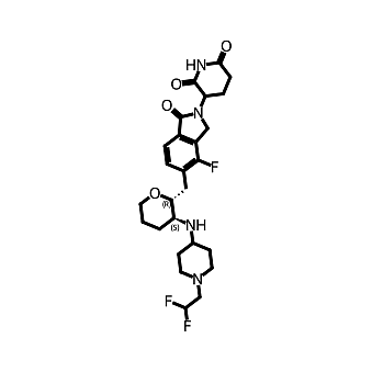 O=C1CCC(N2Cc3c(ccc(C[C@H]4OCCC[C@@H]4NC4CCN(CC(F)F)CC4)c3F)C2=O)C(=O)N1